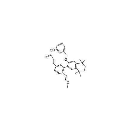 COCOc1ccc(C=CC(=O)O)cc1-c1cc2c(cc1OCc1ccccc1)C(C)(C)CCC2(C)C